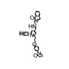 Cl.Cl.O=C1CCCN1c1ccc(OCCCc2cc(CNCCn3ccc4ccccc4c3=O)ccn2)cc1